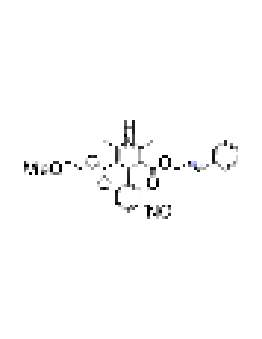 COCCOC(=O)C1=C(C)NC(C)=C(C(=O)OC/C=C/c2ccccc2)C1c1cccc(N=O)c1